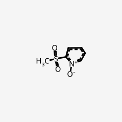 CS(=O)(=O)c1cccc[n+]1[O-]